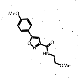 COCCNC(=O)c1cc(-c2ccc(OC)cc2)on1